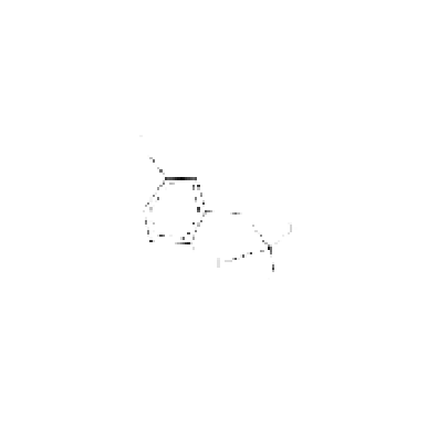 [2H]C([2H])([2H])Oc1cccc(N)c1